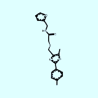 Cc1ccc(-c2nc(CSCC(=O)NCc3ccco3)c(C)o2)cc1